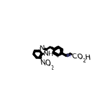 O=C(O)/C=C/c1ccc(Cc2nc3cccc([N+](=O)[O-])c3[nH]2)cc1